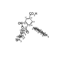 N.N.N.N.N.N.N.N.N.N.N.O=C(O)c1ccc2c(c1)C(=O)OC2=O